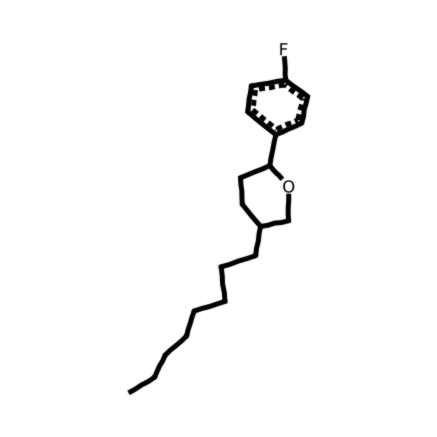 CCCCCCCCC1CCC(c2ccc(F)cc2)OC1